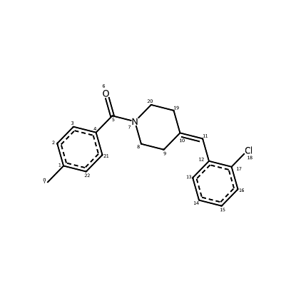 [CH2]c1ccc(C(=O)N2CCC(=Cc3ccccc3Cl)CC2)cc1